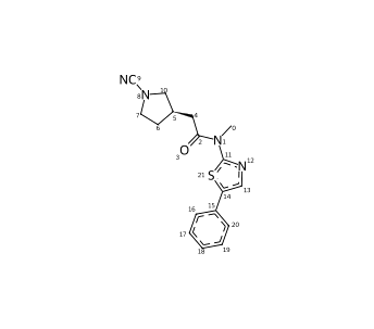 CN(C(=O)C[C@H]1CCN(C#N)C1)c1ncc(-c2ccccc2)s1